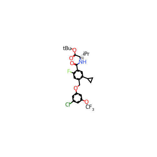 CC(C)[C@H](NC(=O)c1cc(C2CC2)c(COc2cc(Cl)cc(OC(F)(F)F)c2)cc1F)C(=O)OC(C)(C)C